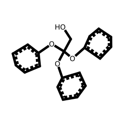 OCC(Oc1ccccc1)(Oc1ccccc1)Oc1ccccc1